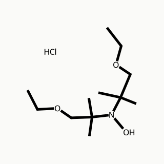 CCOCC(C)(C)N(O)C(C)(C)COCC.Cl